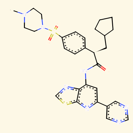 CN1CCN(S(=O)(=O)c2ccc([C@@H](CC3CCCC3)C(=O)Nc3cc(-c4cncnc4)nc4scnc34)cc2)CC1